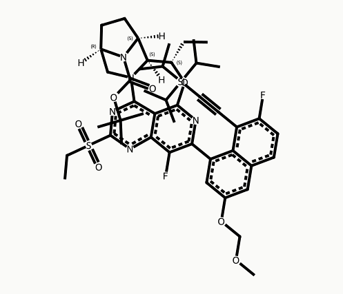 CC[C@@H]1Oc2nc(-c3cc(OCOC)cc4ccc(F)c(C#C[Si](C(C)C)(C(C)C)C(C)C)c34)c(F)c3nc(S(=O)(=O)CC)nc(c23)N2C[C@H]3CC[C@@H]([C@@H]12)N3C(=O)OC(C)(C)C